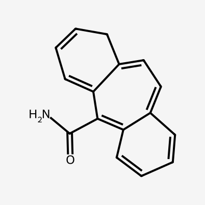 NC(=O)C1=c2ccccc2=CC=C2CC=CC=C21